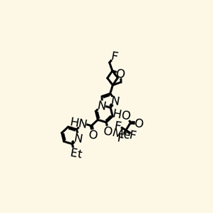 CCc1cccc(NC(=O)c2cn3cc(C45COC(CF)(C4)C5)nc3cc2OC)n1.O=C(O)C(F)(F)F